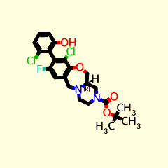 CC(C)(C)OC(=O)N1CCN2Cc3cc(F)c(-c4c(O)cccc4Cl)c(Cl)c3OC[C@H]2C1